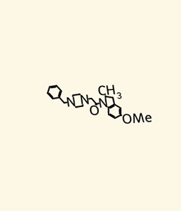 COc1ccc2c(c1)CC(C)N2C(=O)CN1CCN(Cc2ccccc2)CC1